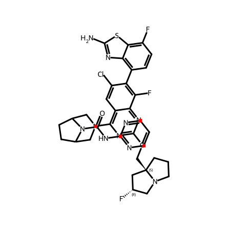 Nc1nc2c(-c3c(Cl)cc4c(N5CC6CCC(C5)N6C(=O)Nc5ncccn5)nc(OC[C@@]56CCCN5C[C@H](F)C6)nc4c3F)ccc(F)c2s1